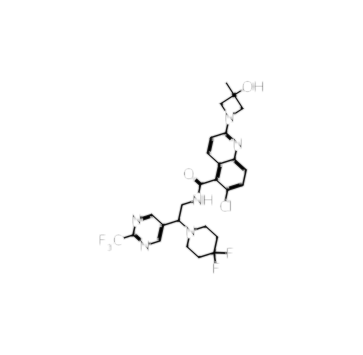 CC1(O)CN(c2ccc3c(C(=O)NCC(c4cnc(C(F)(F)F)nc4)N4CCC(F)(F)CC4)c(Cl)ccc3n2)C1